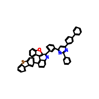 c1ccc(-c2ccc(-c3cc(-c4cccc(-c5nc6cccc(-c7ccc8sc9ccccc9c8c7)c6c6c5oc5ccccc56)c4)nc(-c4ccccc4)n3)cc2)cc1